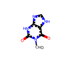 O=Cn1c(=O)[nH]c2nc[nH]c2c1=O